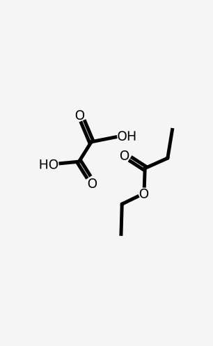 CCOC(=O)CC.O=C(O)C(=O)O